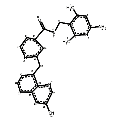 Cc1cc(N)nc(C)c1CNC(=O)c1ccnc(Cc2cccc3cc(C#N)cnc23)c1